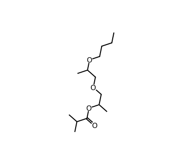 CCCCOC(C)COCC(C)OC(=O)C(C)C